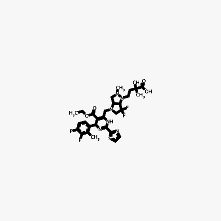 CCOC(=O)C1=C(CN2CC(F)(F)C3C2CN(C)N3CCC(C)(C)C(=O)O)NC(c2nccs2)=NC1c1ccc(F)c(F)c1C